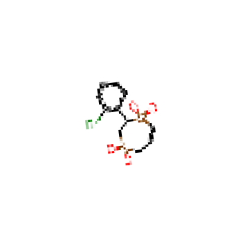 O=S1(=O)CC=CS(=O)(=O)C(c2ccccc2Br)C1